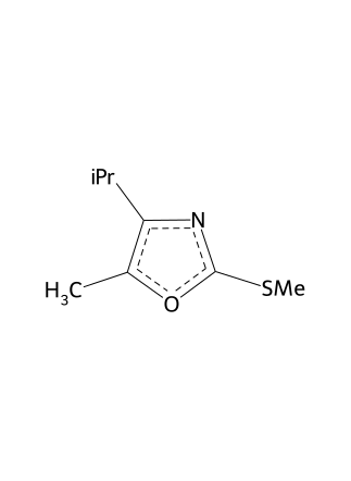 CSc1nc(C(C)C)c(C)o1